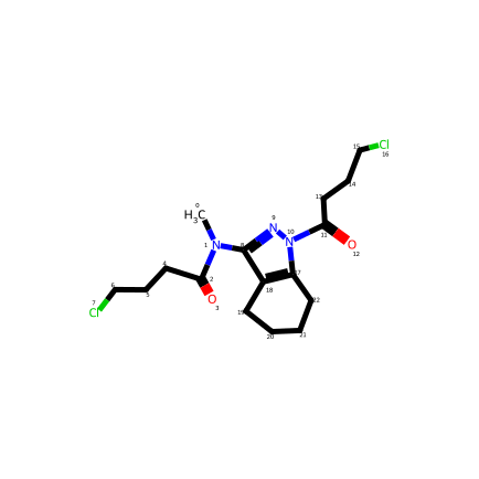 CN(C(=O)CCCCl)c1nn(C(=O)CCCCl)c2c1CCCC2